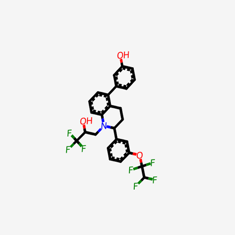 Oc1cccc(-c2cccc3c2CCC(c2cccc(OC(F)(F)C(F)F)c2)N3CC(O)C(F)(F)F)c1